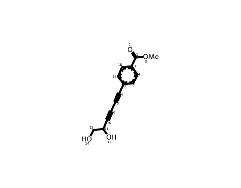 COC(=O)c1ccc(C#CC#CC(O)CO)cc1